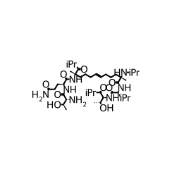 CC(C)N[C@@](C)(CCC/C=C/CCC[C@](C)(NC(=O)[C@H](CCC(N)=O)NC(=O)[C@H](N)[C@@H](C)O)C(=O)C(C)C)C(=O)N[C@H](C(=O)N[C@H](C(=O)C(C)C)[C@@H](C)O)C(C)C